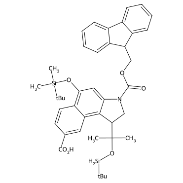 CC(C)(C)[SiH2]OC(C)(C)C1CN(C(=O)OCC2c3ccccc3-c3ccccc32)c2cc(O[Si](C)(C)C(C)(C)C)c3ccc(C(=O)O)cc3c21